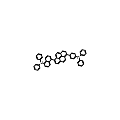 c1ccc(N(c2ccccc2)c2ccc(-c3ccc4ccc5c(-c6cccc7c(N(c8ccccc8)c8ccccc8)cccc67)ccc6ccc3c4c65)cc2)cc1